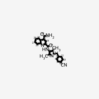 Cc1nn(Cc2ccc(C#N)cc2)c(C)c1NC(=O)c1cc(C(N)=O)c2ccccc2n1